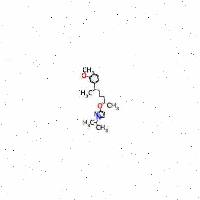 COc1cccc(C(C)CCC[C@H](C)Oc2ccn(C(C)C)n2)c1